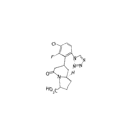 O=C(O)C1CC[C@@H]2CC(c3c(-n4cnnn4)ccc(Cl)c3F)CC(=O)N12